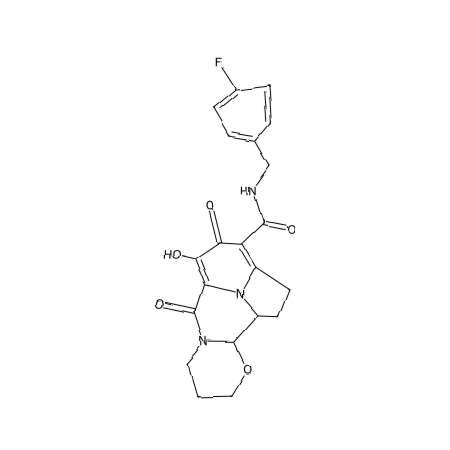 O=C(NCc1ccc(F)cc1)c1c2n3c(c(O)c1=O)C(=O)N1CCCOC1C3CC2